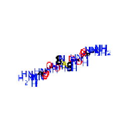 N=C(N)NCCC[C@H](NC(=O)CNC(=O)CNC(=O)c1cc(SSc2cc(C(=O)NCC(=O)NCC(=O)N[C@H](CCCNC(=N)N)C(N)=O)cc3cccnc23)c2ncccc2c1)C(N)=O